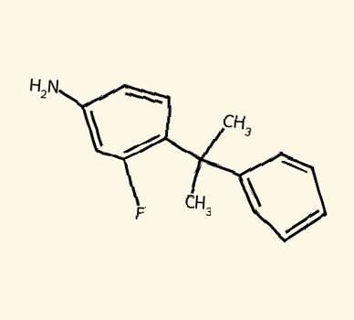 CC(C)(c1ccccc1)c1ccc(N)cc1F